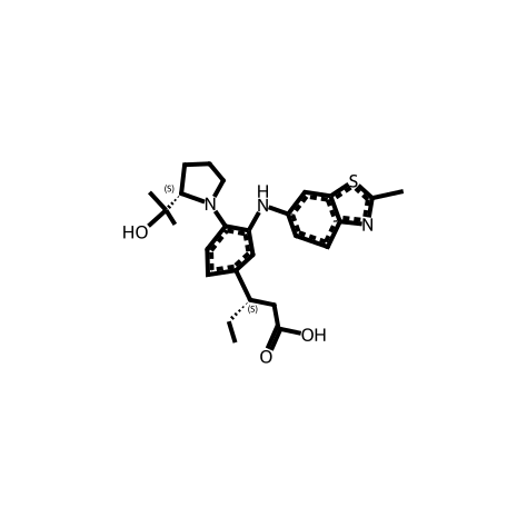 CC[C@@H](CC(=O)O)c1ccc(N2CCC[C@H]2C(C)(C)O)c(Nc2ccc3nc(C)sc3c2)c1